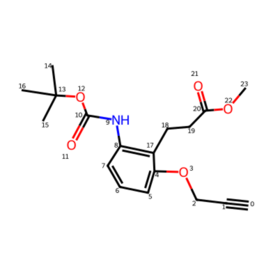 C#CCOc1cccc(NC(=O)OC(C)(C)C)c1CCC(=O)OC